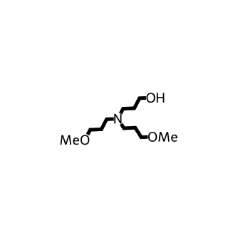 COCCCN(CCCO)CCCOC